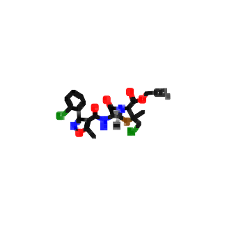 Cc1onc(-c2ccccc2Cl)c1C(=O)NC1C(=O)N2C(C(=O)OCC(Cl)(Cl)Cl)C(C)(CBr)S[C@@H]12